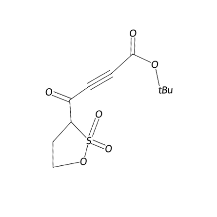 CC(C)(C)OC(=O)C#CC(=O)C1CCOS1(=O)=O